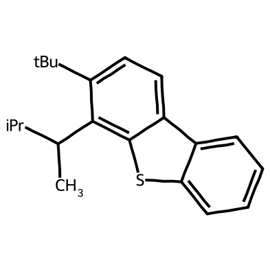 CC(C)C(C)c1c(C(C)(C)C)ccc2c1sc1ccccc12